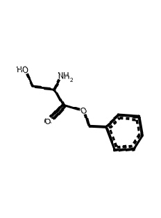 NC(CO)C(=O)OCc1ccccc1